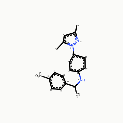 Cc1cc(C)n(-c2ccc(NC(C#N)c3ccc([N+](=O)[O-])cc3)cc2)n1